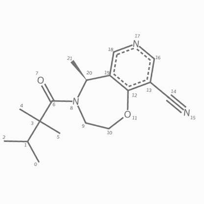 CC(C)C(C)(C)C(=O)N1CCOc2c(C#N)cncc2[C@@H]1C